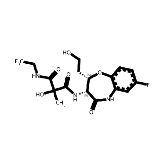 CC(O)(C(=O)NCC(F)(F)F)C(=O)N[C@H]1C(=O)Nc2cc(F)ccc2O[C@H]1CCO